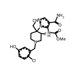 COC(=O)Nc1c(C(N)=O)cnn1C1(CC#N)CCN(Cc2cc(O)ccc2Cl)CC1F